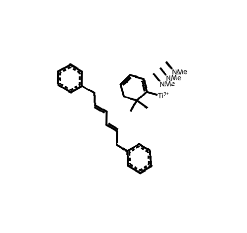 C(C=CCc1ccccc1)=CCc1ccccc1.CC1(C)CC=CC=[C]1[Ti+3].C[N-]C.C[N-]C.C[N-]C